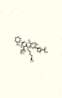 C#CCCCON(C(=O)[C@@H](NC(=O)[C@H]1CCCCN1C)[C@@H](C)CC)[C@H](C[C@@H](O)c1nc(C(=O)O)cs1)C(C)C